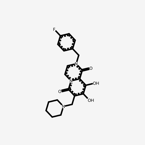 O=c1c2c(O)c(O)c(CN3CCCCC3)c(=O)n2ccn1Cc1ccc(F)cc1